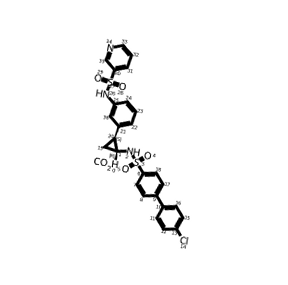 O=C(O)[C@@]1(NS(=O)(=O)c2ccc(-c3ccc(Cl)cc3)cc2)C[C@H]1c1cccc(NS(=O)(=O)c2cccnc2)c1